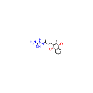 CC1=C(CC/C(C)=N/NC(=N)N)C(=O)c2ccccc2C1=O